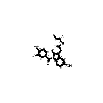 CC[C@H](C)NC(=O)Cc1c(C)n(C(=O)c2ccc(Cl)c(F)c2)c2ccc(O)cc12